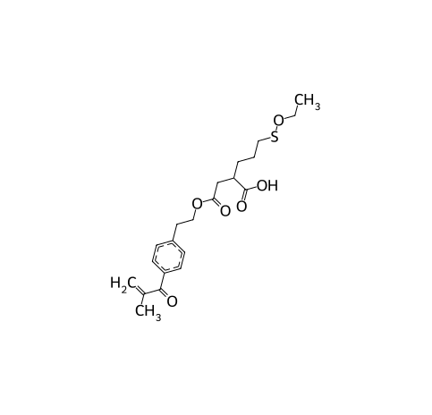 C=C(C)C(=O)c1ccc(CCOC(=O)CC(CCCSOCC)C(=O)O)cc1